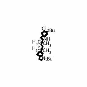 CC(C)(C)c1cc2[nH]c(C(C)(C)CCC(C)(C)c3ccc4c(c3)N(C(C)(C)C)CC4)cc2cc1Cl